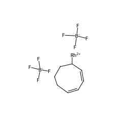 F[B-](F)(F)F.F[B-](F)(F)F.[Rh+2][CH]1/C=C\C=C/CCC1